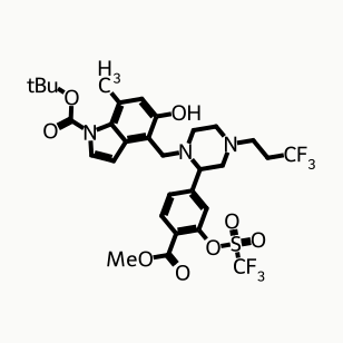 COC(=O)c1ccc(C2CN(CCC(F)(F)F)CCN2Cc2c(O)cc(C)c3c2ccn3C(=O)OC(C)(C)C)cc1OS(=O)(=O)C(F)(F)F